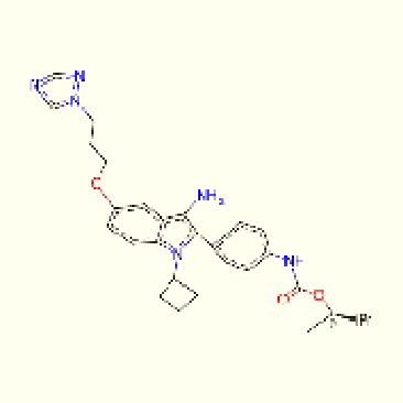 CC(C)[C@@H](C)OC(=O)Nc1ccc(-c2c(N)c3cc(OCCCn4cncn4)ccc3n2C2CCC2)cc1